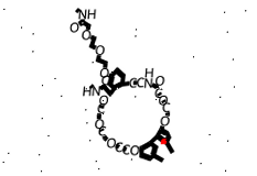 CNC(=O)COCCOCCOc1ccc2c(c1)C(C(=O)NC)OCCOCCOCCOc1ccc(C)cc1-c1cc(C)ccc1OCCOCC(=O)NCC2